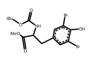 COC(=O)C(Cc1cc(Br)c(O)c(Br)c1)NC(=O)OC(C)(C)C